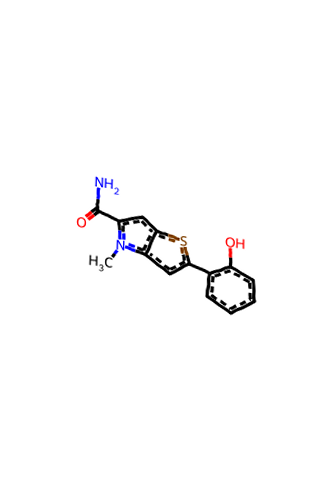 Cn1c(C(N)=O)cc2sc(-c3ccccc3O)cc21